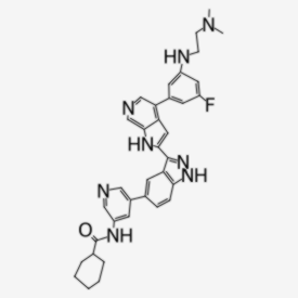 CN(C)CCNc1cc(F)cc(-c2cncc3[nH]c(-c4n[nH]c5ccc(-c6cncc(NC(=O)C7CCCCC7)c6)cc45)cc23)c1